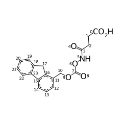 O=C(O)CCC(=O)NOC(=O)OCc1cccc2c1Cc1ccccc1-2